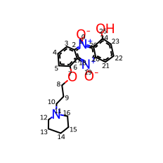 [O-][n+]1c2cccc(OCCCN3CCCCC3)c2[n+]([O-])c2cccc(O)c21